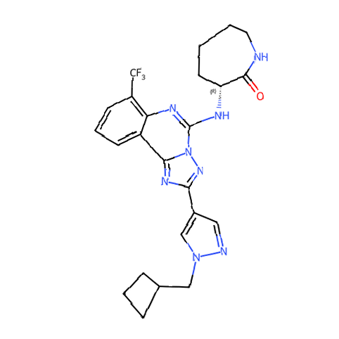 O=C1NCCCC[C@H]1Nc1nc2c(C(F)(F)F)cccc2c2nc(-c3cnn(CC4CCC4)c3)nn12